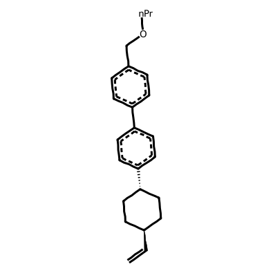 C=C[C@H]1CC[C@H](c2ccc(-c3ccc(COCCC)cc3)cc2)CC1